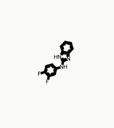 Fc1ccc(Nc2nc3ccccc3[nH]2)cc1F